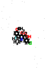 CCn1c(C)c(-c2cc(OC)ccc2F)c(=O)c(C(=O)O)c1-c1ccc(Cl)cc1